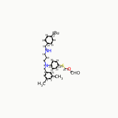 Cc1cc(C)cc(CN(CCCNCc2ccc(C(C)(C)C)cc2)c2ccc(SCOC=O)cc2)c1